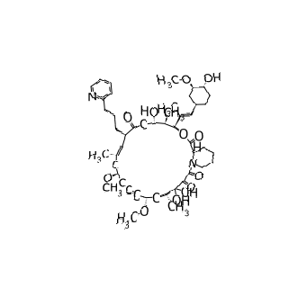 CO[C@@H]1CCC[C@@H](OC)C[C@@H](C)C(O)(O)C(=O)C(=O)N2CCCC[C@H]2C(=O)O[C@H](/C(C)=C/[C@@H]2CC[C@@H](O)[C@H](OC)C2)[C@H](C)[C@@H](O)CC(=O)[C@H](CCCc2ccccn2)/C=C(\C)C1